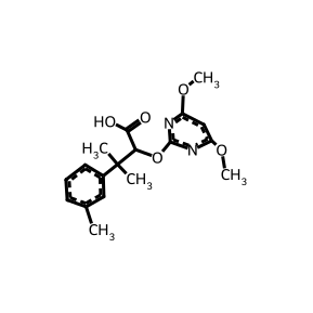 COc1cc(OC)nc(OC(C(=O)O)C(C)(C)c2cccc(C)c2)n1